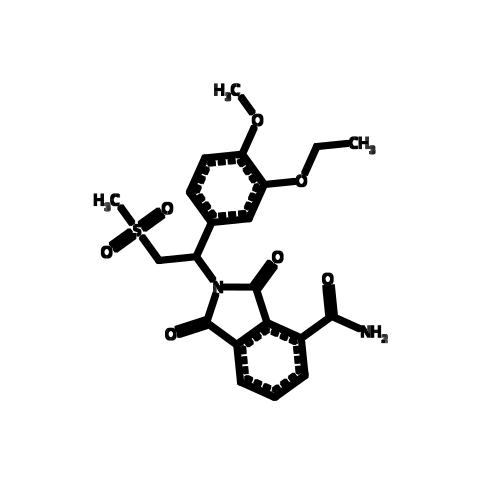 CCOc1cc(C(CS(C)(=O)=O)N2C(=O)c3cccc(C(N)=O)c3C2=O)ccc1OC